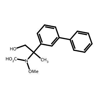 CON(C(=O)O)C(C)(CO)c1cccc(-c2ccccc2)c1